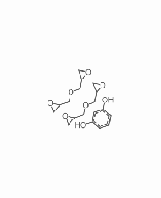 C(OCC1CO1)C1CO1.C(OCC1CO1)C1CO1.Oc1cccc(O)c1